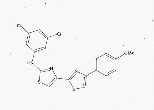 COc1ccc(-c2csc(-c3csc(Nc4cc(Cl)cc(Cl)c4)n3)n2)cc1